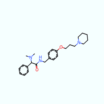 CN(C)C(C(=O)NCc1ccc(OCCCN2CCCCC2)cc1)c1ccccc1